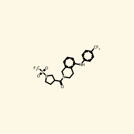 O=C(C1CCN(S(=O)(=O)C(F)(F)F)C1)N1CCc2c(cccc2Nc2ccc(C(F)(F)F)cc2)C1